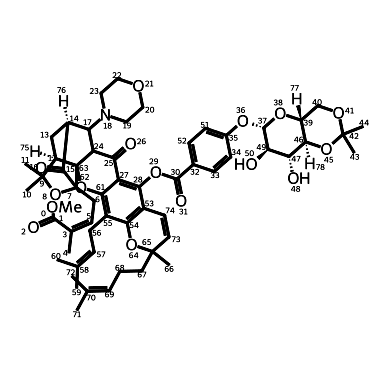 COC(=O)/C(C)=C\CC12OC(C)(C)[C@H]3C[C@H](C1=O)C(N1CCOCC1)C1C(=O)c4c(OC(=O)c5ccc(O[C@@H]6O[C@@H]7COC(C)(C)O[C@H]7[C@H](O)[C@H]6O)cc5)c5c(c(CC=C(C)C)c4OC132)OC(C)(CCC=C(C)C)C=C5